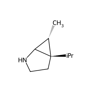 CC(C)[C@@]12CCNC1[C@@H]2C